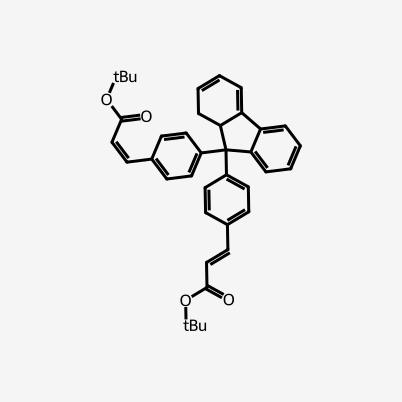 CC(C)(C)OC(=O)C=Cc1ccc(C2(c3ccc(/C=C\C(=O)OC(C)(C)C)cc3)c3ccccc3C3=CC=CCC32)cc1